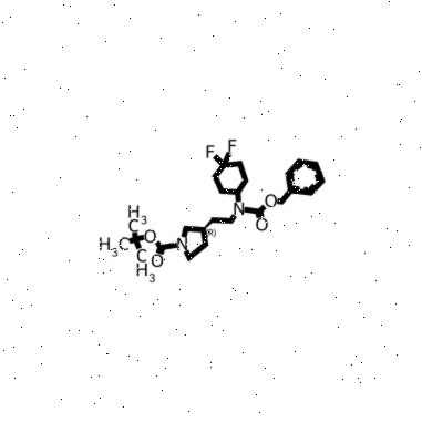 CC(C)(C)OC(=O)N1CC[C@H](CCN(C(=O)OCc2ccccc2)C2CCC(F)(F)CC2)C1